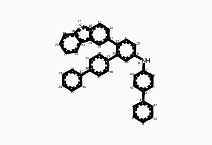 c1ccc(-c2ccc(Nc3ccc(-c4ccc5sc6ccccc6c5c4)c(-c4ccc(-c5ccccc5)cc4)c3)cc2)cc1